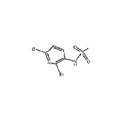 CCc1nc(Cl)ccc1NS(C)(=O)=O